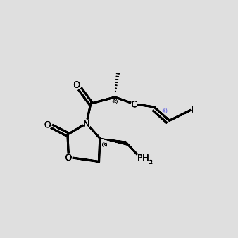 C[C@H](C/C=C/I)C(=O)N1C(=O)OC[C@@H]1CP